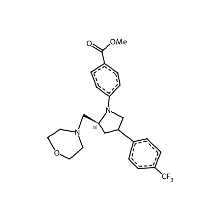 COC(=O)c1ccc(N2CC(c3ccc(C(F)(F)F)cc3)C[C@H]2CN2CCOCC2)cc1